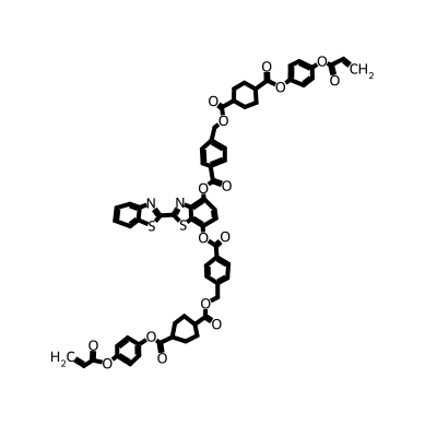 C=CC(=O)Oc1ccc(OC(=O)C2CCC(C(=O)OCc3ccc(C(=O)Oc4ccc(OC(=O)c5ccc(COC(=O)C6CCC(C(=O)Oc7ccc(OC(=O)C=C)cc7)CC6)cc5)c5sc(-c6nc7ccccc7s6)nc45)cc3)CC2)cc1